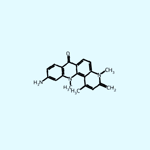 C=C1C=C(C)c2c(ccc3c(=O)c4ccc(N)cc4n(C)c23)N1C